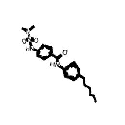 CCCCCCc1ccc(NC(=O)c2ccc(NS(=O)(=O)N(C)C)cc2)cc1